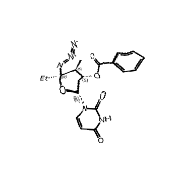 CC[C@@]1(N=[N+]=[N-])O[C@@H](n2ccc(=O)[nH]c2=O)[C@@H](OC(=O)c2ccccc2)[C@@H]1C